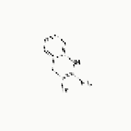 CC(C)C1=C(N)Nc2ccccc2S1